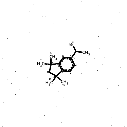 CC(Br)c1ccc2c(c1)C(C)(C)CC2(C)C